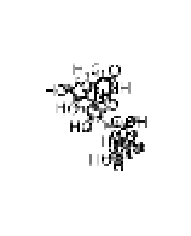 Cc1cn([C@@]2(C3OC[C@H](O)[C@H]3O)C[C@H](O)[C@@H](COP(=O)(O)OP(=O)(O)OP(=O)(O)O)O2)c(=O)[nH]c1=O